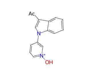 CC(=O)c1cn(-c2ccc[n+](O)c2)c2ccccc12